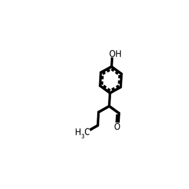 CCCC(C=O)c1ccc(O)cc1